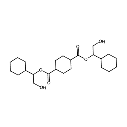 O=C(OC(CO)C1CCCCC1)C1CCC(C(=O)OC(CO)C2CCCCC2)CC1